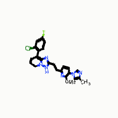 COc1nc(C=CC2=NC3=C(c4ccc(F)cc4Cl)CCCN3N2)ccc1-n1cnc(C)c1